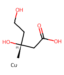 C[C@@](O)(CCO)CC(=O)O.[Cu]